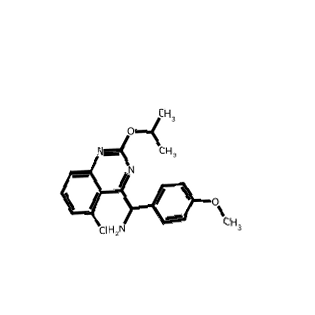 COc1ccc(C(N)c2nc(OC(C)C)nc3cccc(Cl)c23)cc1